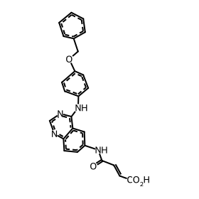 O=C(O)/C=C/C(=O)Nc1ccc2ncnc(Nc3ccc(OCc4ccccc4)cc3)c2c1